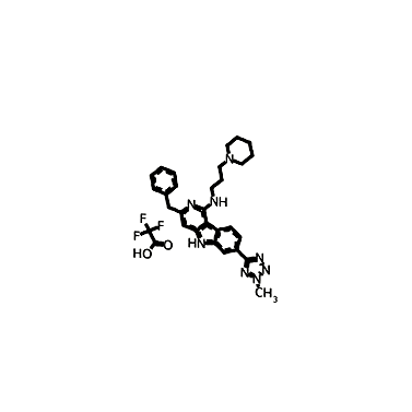 Cn1nnc(-c2ccc3c(c2)[nH]c2cc(Cc4ccccc4)nc(NCCCN4CCCCC4)c23)n1.O=C(O)C(F)(F)F